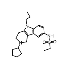 CCCn1c2c(c3cc(NS(=O)(=O)CC)ccc31)CN(C1CCCC1)CC2